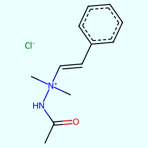 CC(=O)N[N+](C)(C)C=Cc1ccccc1.[Cl-]